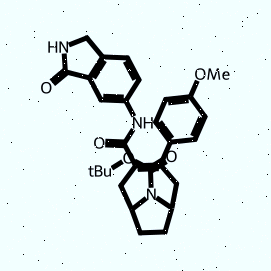 COc1ccc(C2=C(C(=O)Nc3ccc4c(c3)C(=O)NC4)CC3CCC(C2)N3C(=O)OC(C)(C)C)cc1